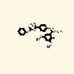 CCOC(=O)C(Nc1ccc(/C(N)=N/C(=O)Oc2ccccc2)cc1)c1cc(OCC)cc(OCC)c1F